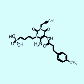 C#CCn1c(=O)c(NC(=O)CCc2ccc(C(F)(F)F)cc2)c(N)n(CCCCP(=O)(O)O)c1=O